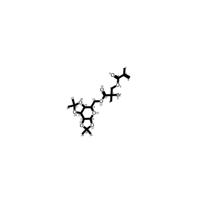 C=C(C)C(=O)OCC(C)(Br)C(=O)OCC1OC2OC(C)(C)OC2C2OC(C)(C)OC12